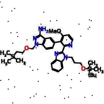 COc1ccnc(-c2nc3ccccc3n2CCCO[Si](C)(C)C(C)(C)C)c1-c1ccc2c(c1)c(N)nn2COCC[Si](C)(C)C